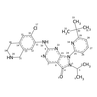 CC(C)n1c(=O)c2cnc(Nc3cc4c(cc3Cl)CCNC4)nc2n1-c1cccc(C(C)(C)C)n1